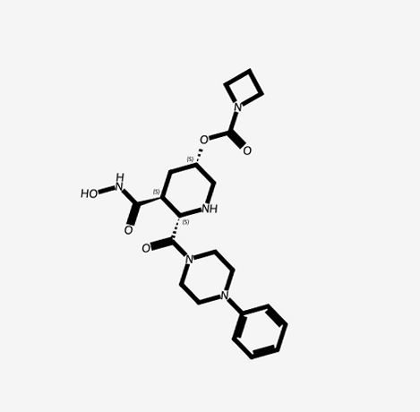 O=C(NO)[C@H]1C[C@H](OC(=O)N2CCC2)CN[C@@H]1C(=O)N1CCN(c2ccccc2)CC1